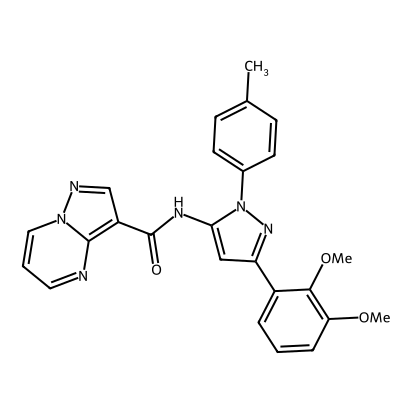 COc1cccc(-c2cc(NC(=O)c3cnn4cccnc34)n(-c3ccc(C)cc3)n2)c1OC